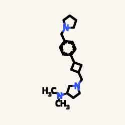 CN(C)[C@@H]1CCN(CC2CC(c3ccc(CN4CCCC4)cc3)C2)C1